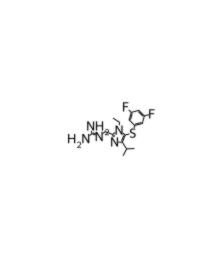 CCn1c(CN=C(N)N)nc(C(C)C)c1Sc1cc(F)cc(F)c1